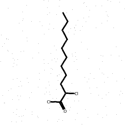 CCCCCCCCCC(Cl)C(=O)Cl